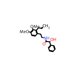 C=CCc1c(CCNC(=O)C(O)c2ccccc2)ccc(OC)c1OC